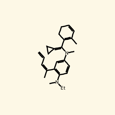 C=C/C=C(/C)c1cc(N(C)C(=C2CC2)C2=C(C)C=CCC2)ccc1N(C)CC